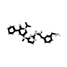 CC(C)n1cc(N(C)c2ccnc(N[C@@H](C)Cc3cccc(CN)c3)n2)cc(-c2ccccc2)c1=O